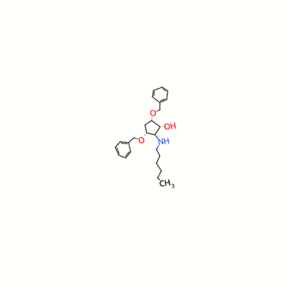 CCCCCCN[C@@H]1[C@@H](O)[C@@H](OCc2ccccc2)C[C@H]1OCc1ccccc1